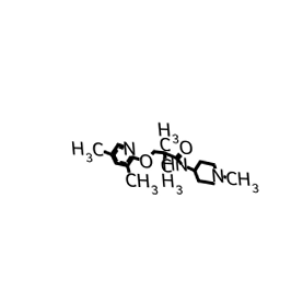 Cc1cnc(OCC(C)(C)C(=O)NC2CCN(C)CC2)c(C)c1